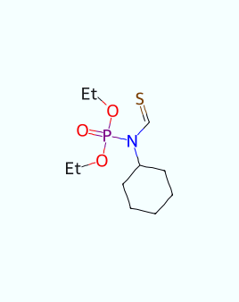 CCOP(=O)(OCC)N(C=S)C1CCCCC1